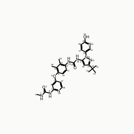 CNC(=O)Nc1cc(Oc2ccc(NC(=O)Nc3cc(C(C)(C)C)nn3-c3ccc(O)nc3)c(C)c2C)ccn1